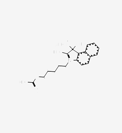 CC(=O)OCCCCC[N+]1=C(C)C(C)(C)c2c1ccc1ccccc21.[I-]